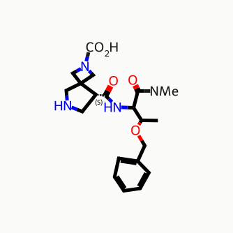 CNC(=O)C(NC(=O)[C@@H]1CNCC12CN(C(=O)O)C2)C(C)OCc1ccccc1